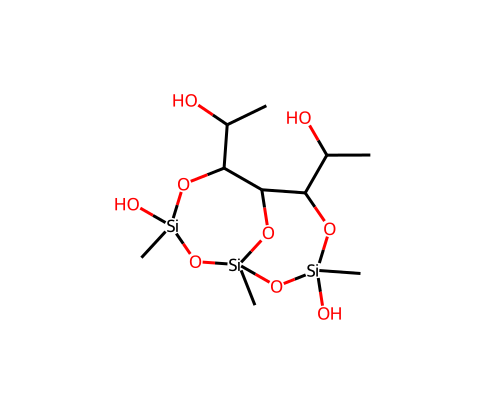 CC(O)C1O[Si](C)(O)O[Si]2(C)OC1C(C(C)O)O[Si](C)(O)O2